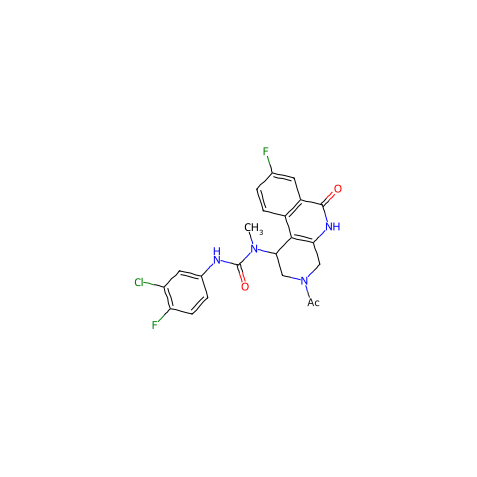 CC(=O)N1Cc2[nH]c(=O)c3cc(F)ccc3c2C(N(C)C(=O)Nc2ccc(F)c(Cl)c2)C1